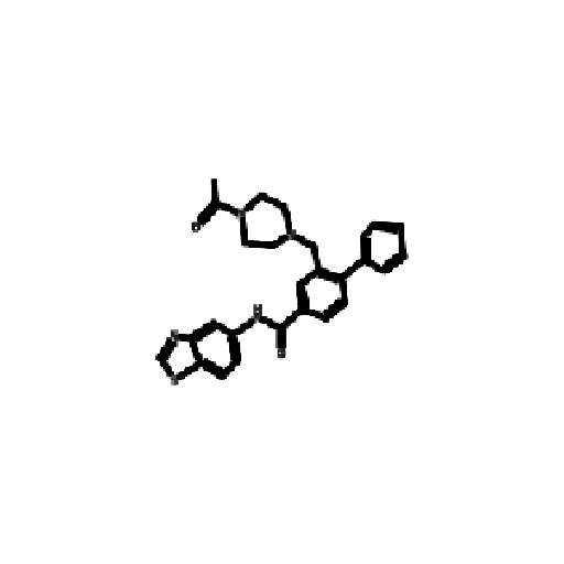 CC(=O)N1CCN(Cc2cc(C(=O)Nc3ccc4scnc4c3)ccc2-c2ccccc2)CC1